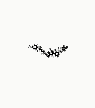 CC(=O)N1CCC(NC(=O)CCCNc2ncc3c(n2)N(C)C(O)C(c2c(F)ccc(NSN4CC[C@@H](F)C4)c2F)=C3)CC1